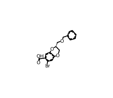 O=C(O)c1cc2c(cc1Br)OC[C@H](COCc1ccccc1)O2